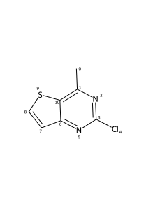 Cc1nc(Cl)nc2ccsc12